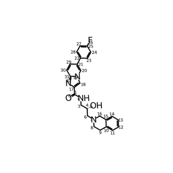 O=C(NC[C@H](O)CN1CCc2ccccc2C1)c1cn2cc(-c3ccc(F)cc3)ccc2n1